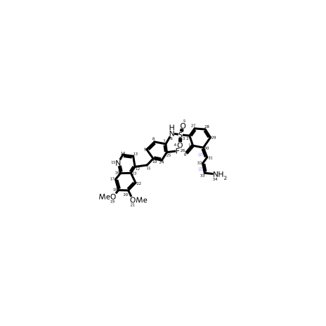 C=c1c(S(=O)(=O)Nc2ccc(Cc3ccnc4cc(OC)c(OC)cc34)cc2F)ccc/c1=C/C=C\N